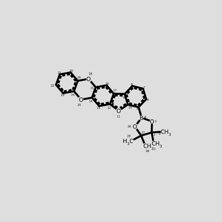 CC1(C)OB(c2cccc3c2oc2cc4c(cc23)Oc2ccccc2O4)OC1(C)C